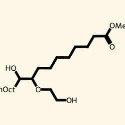 CCCCCCCCC(O)C(CCCCCCCC(=O)OC)OCCO